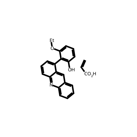 C=CC(=O)O.CCOc1cccc(O)c1-c1cccc2nc3ccccc3cc12